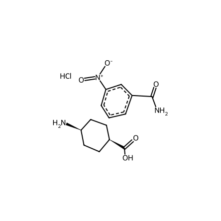 Cl.NC(=O)c1cccc([N+](=O)[O-])c1.N[C@H]1CC[C@@H](C(=O)O)CC1